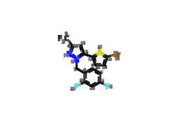 Fc1ccc(Cn2nc(C(F)(F)F)cc2-c2ccc(Br)s2)c(F)c1